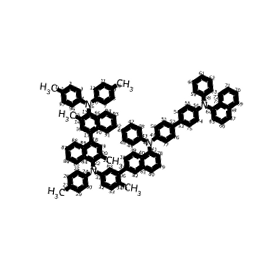 Cc1ccc(N(c2ccc(C)cc2)c2c(C)cc(-c3cc(C)c(N(c4ccc(C)cc4)c4ccc(C)c(-c5ccc6c(N(c7ccccc7)c7ccc(-c8ccc(N(c9ccccc9)c9cccc%10ccccc9%10)cc8)cc7)cccc6c5)c4)c4ccccc34)c3ccccc23)cc1